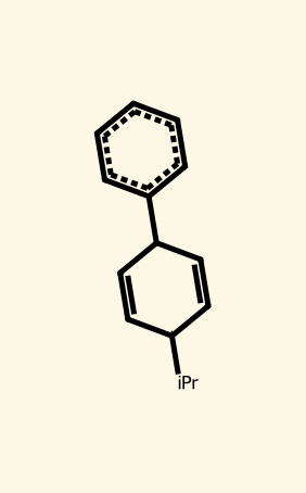 CC(C)[C]1C=CC(c2ccccc2)C=C1